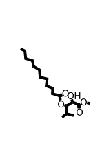 CCCCCCCCCCCC(=O)OC(C(C)C)C(O)C(=O)OC